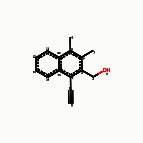 C#Cc1c(CO)c(C)c(C)c2ccccc12